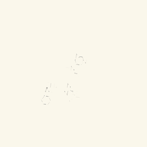 CN(C)[C@]1(c2ccccc2)CC[C@]2(CC1)CN(CCC(=O)Nc1cncnc1)C(=O)N2CC1(O)CCC1